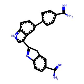 N=C(N)c1ccc(-c2ccc3[nH]cc(C4=Nc5ccc(C(=N)N)cc5C4)c3c2)cc1